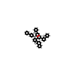 c1ccc(-c2ccc(N(c3ccc4oc5c6ccccc6ccc5c4c3-c3cccc(-c4cccc5c4oc4ccccc45)c3)c3cccc4c3oc3ccccc34)cc2)cc1